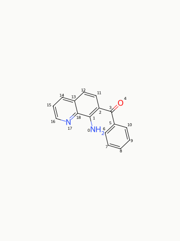 Nc1c(C(=O)c2ccccc2)ccc2cccnc12